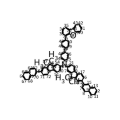 CC1(C)c2cc(-c3ccc4ccccc4c3)ccc2-c2ccc(N(c3ccc(-c4ccc(-c5cccc6c5oc5ccccc56)cc4)cc3)c3ccc4c(c3)C(C)(C)c3cc(-c5ccc6ccccc6c5)ccc3-4)cc21